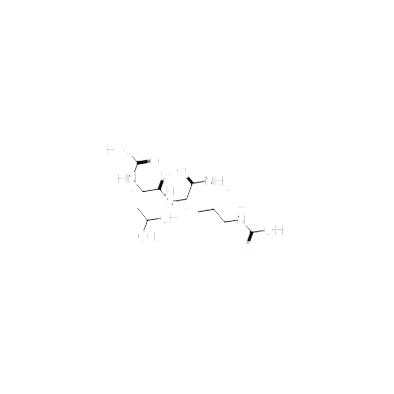 CC(=O)N[C@@H](CC(C)C)C(=O)N[C@@H](CCCNC(=O)O)C(N)=O